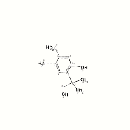 CC(N)(CO)c1cc(N)c(C(=O)O)cc1O